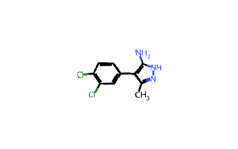 Cc1n[nH]c(N)c1-c1ccc(Cl)c(Cl)c1